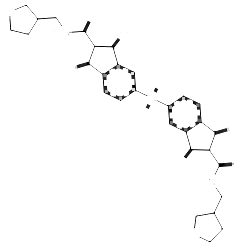 O=C(NCC1CCOC1)C1C(=O)c2ccc(S(=O)(=O)c3ccc4c(c3)C(=O)C(C(=O)NCC3CCOC3)C4=O)cc2C1=O